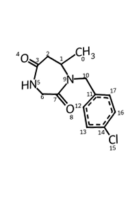 CC1CC(=O)NCC(=O)N1Cc1ccc(Cl)cc1